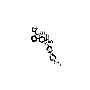 CN1CCN(c2ncc(N3C[C@]4(CC[C@@](c5ccccc5)(N(C)CC5CCOC5)CC4)NC3=O)cn2)CC1